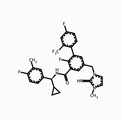 Cc1cc([C@@H](NC(=O)c2cc(Cn3ccn(C)c3=N)cc(-c3ccc(F)cc3C(F)(F)F)c2F)C2CC2)ccc1F